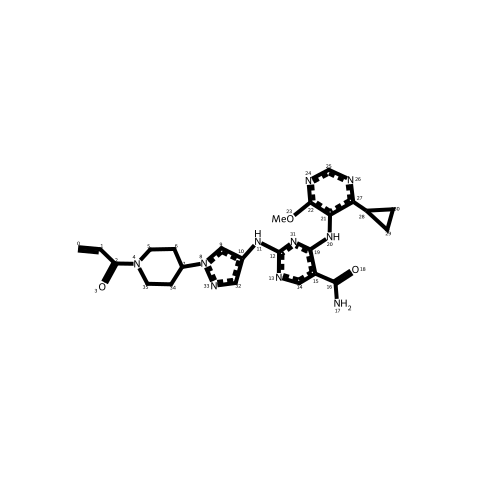 C=CC(=O)N1CCC(n2cc(Nc3ncc(C(N)=O)c(Nc4c(OC)ncnc4C4CC4)n3)cn2)CC1